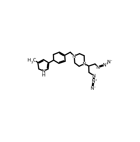 CC1=CC(C2C=CC(CN3CCN(C(CN=[N+]=[N-])CN=[N+]=[N-])CC3)=CC2)=CNC1